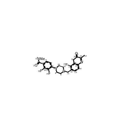 CNC(=O)c1ccc(N2CCN(Cc3ccc4c(c3F)CC(=O)C(C)=N4)CC2)c(F)c1F